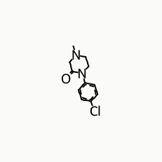 CN1CCN(c2ccc(Cl)cc2)C(=O)C1